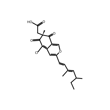 CCC(C)/C=C(C)/C=C/C1=CC2=C(Cl)C(=O)[C@](C)(CC(=O)O)C(=O)C2=CO1